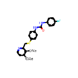 COc1ccnc(CSc2ccc(NC(=O)Nc3ccc(F)cc3)cc2)c1OC